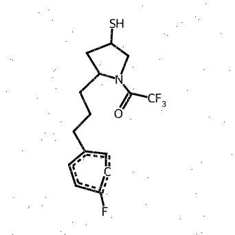 O=C(N1CC(S)CC1CCCc1ccc(F)cc1)C(F)(F)F